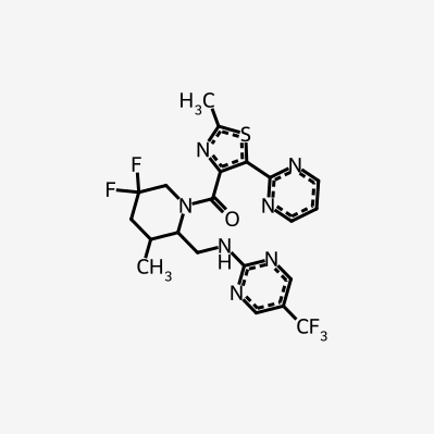 Cc1nc(C(=O)N2CC(F)(F)CC(C)C2CNc2ncc(C(F)(F)F)cn2)c(-c2ncccn2)s1